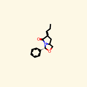 CC/C=C1\CC2CO[C@H](c3ccccc3)N2C1=O